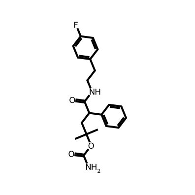 CC(C)(CC(C(=O)NCCc1ccc(F)cc1)c1ccccc1)OC(N)=O